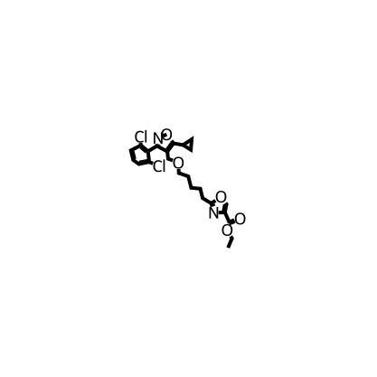 CCOC(=O)c1coc(CCCCCOCc2c(-c3c(Cl)cccc3Cl)noc2C2CC2)n1